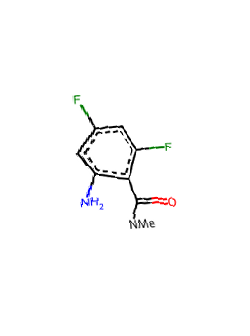 CNC(=O)c1c(N)cc(F)cc1F